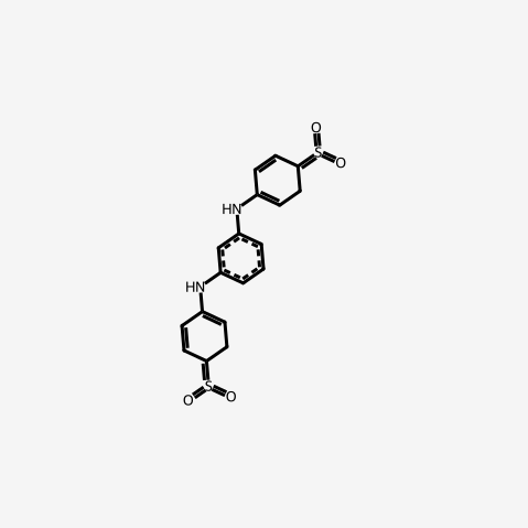 O=S(=O)=C1C=CC(Nc2cccc(NC3=CCC(=S(=O)=O)C=C3)c2)=CC1